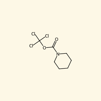 O=C(OC(Cl)(Cl)Cl)N1CCCCC1